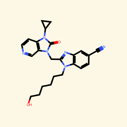 N#Cc1ccc2c(c1)nc(Cn1c(=O)n(C3CC3)c3ccncc31)n2CCCCCCO